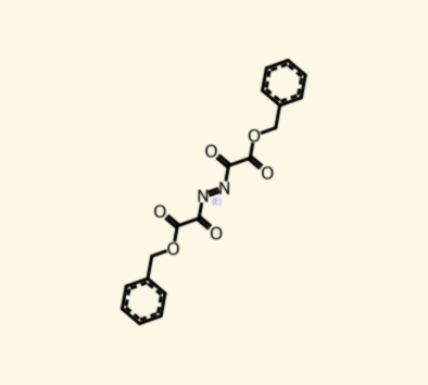 O=C(/N=N/C(=O)C(=O)OCc1ccccc1)C(=O)OCc1ccccc1